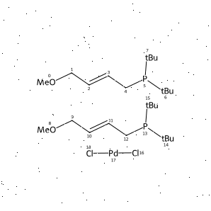 COCC=CCP(C(C)(C)C)C(C)(C)C.COCC=CCP(C(C)(C)C)C(C)(C)C.[Cl][Pd][Cl]